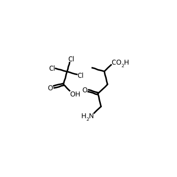 CC(CC(=O)CN)C(=O)O.O=C(O)C(Cl)(Cl)Cl